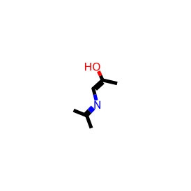 CC(C)=N/C=C(\C)O